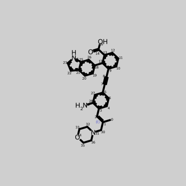 C/C(=C\c1ccc(C#Cc2cccc(C(=O)O)c2-c2ccc3cc[nH]c3c2)cc1N)CN1CCOCC1